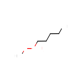 CCCCCOOC.O